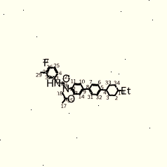 CCC1CCC(c2ccc(-c3ccc4c(c3)OC(C)CN4C(=O)Nc3ccc(F)c(C)c3)cc2)CC1